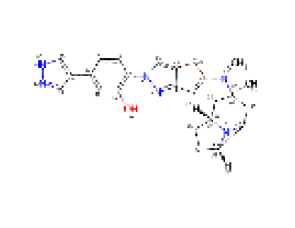 CN(c1cc2nn(-c3ccc(-c4cn[nH]c4)cc3O)cc2s1)[C@@]1(C)CC2[C@@H]3CC[C@H](C1)N23